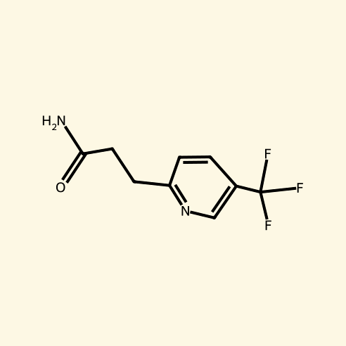 NC(=O)CCc1ccc(C(F)(F)F)cn1